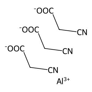 N#CCC(=O)[O-].N#CCC(=O)[O-].N#CCC(=O)[O-].[Al+3]